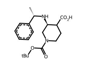 C[C@H](N[C@@H]1CN(C(=O)OC(C)(C)C)CCC1C(=O)O)c1ccccc1